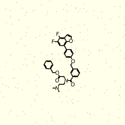 CN(C)CCN(CC(=O)OCc1ccccc1)C(=O)c1cccc(COc2ccc(-c3cc(F)c(F)c4ccoc34)cc2)c1